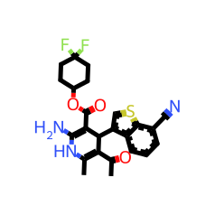 CC(=O)C1=C(C)NC(N)=C(C(=O)OC2CCC(F)(F)CC2)C1c1csc2c(C#N)cccc12